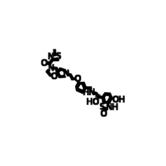 Cc1nc(C(=O)N2CCOC3(CCN(CCOc4cccc(CNC[C@H](O)c5ccc(O)c6[nH]c(=O)sc56)c4)CC3)C2)cs1